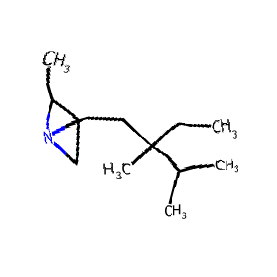 CCC(C)(CC12CN1C2C)C(C)C